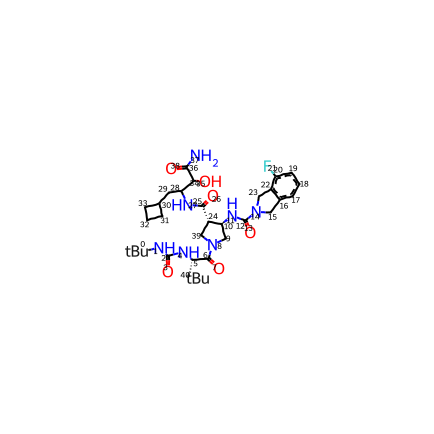 CC(C)(C)NC(=O)N[C@H](C(=O)N1C[C@H](NC(=O)N2Cc3cccc(F)c3C2)[C@@H](C(=O)NC(CC2CCC2)C(O)C(N)=O)C1)C(C)(C)C